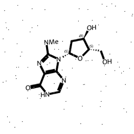 CNc1nc2c(=O)[nH]cnc2n1[C@@H]1C[C@@H](O)[C@H](CO)O1